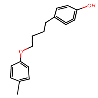 Cc1ccc(OCCCCC2=C=C=C(O)C=C2)cc1